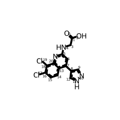 O=C(O)CNc1cc(-c2cn[nH]c2)c2ccc(Cl)c(Cl)c2n1